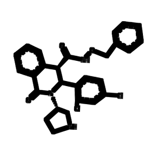 O=C(NOCc1ccccc1)[C@@H]1c2ccccc2C(=O)N([C@H]2CCNC2)C1c1ccc(Cl)cc1Cl